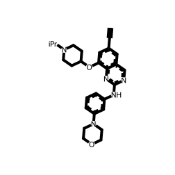 C#Cc1cc(OC2CCN(C(C)C)CC2)c2nc(Nc3cccc(N4CCOCC4)c3)ncc2c1